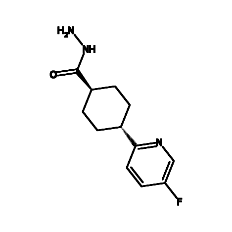 NNC(=O)[C@H]1CC[C@H](c2ccc(F)cn2)CC1